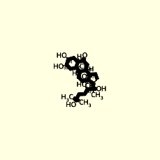 CC(C)(O)CC[C@@H](O)[C@](C)(O)[C@H]1CC[C@@]2(O)[C@@H]3CC(=O)[C@@H]4C[C@@H](O)[C@@H](O)C[C@]4(C)[C@H]3CC[C@]12C